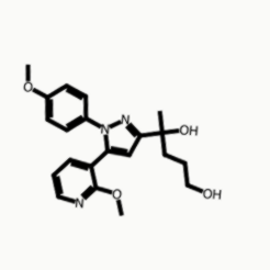 COc1ccc(-n2nc(C(C)(O)CCCO)cc2-c2cccnc2OC)cc1